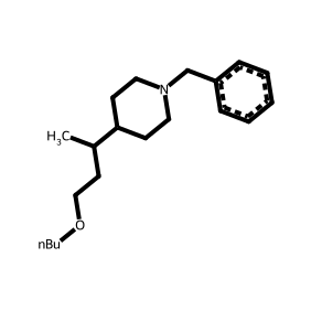 CCCCOCCC(C)C1CCN(Cc2ccccc2)CC1